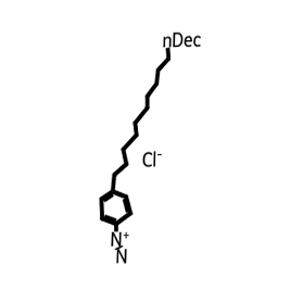 CCCCCCCCCCCCCCCCCCCCc1ccc([N+]#N)cc1.[Cl-]